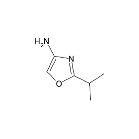 CC(C)c1nc(N)co1